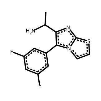 CC(N)c1nc2sccn2c1-c1cc(F)cc(F)c1